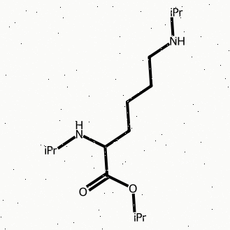 CC(C)NCCCCC(NC(C)C)C(=O)OC(C)C